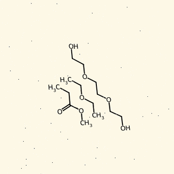 CCC(=O)OC.CCOCC.OCCOCCOCCO